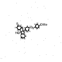 COc1ccc(COc2ccc(C(F)(F)C(O)(c3cncnc3)c3ccc(F)cc3F)nc2)cc1